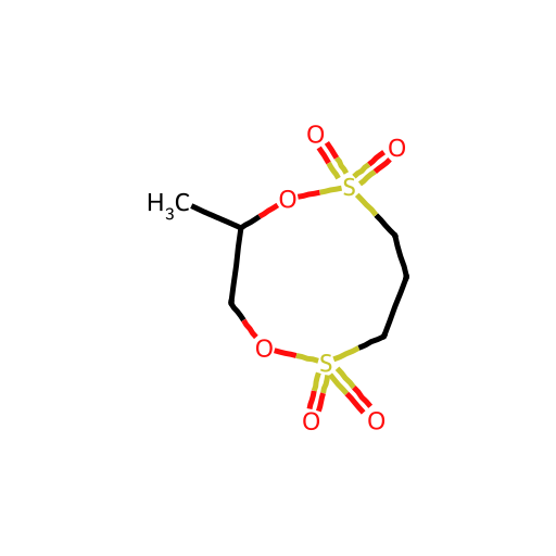 CC1COS(=O)(=O)CCCS(=O)(=O)O1